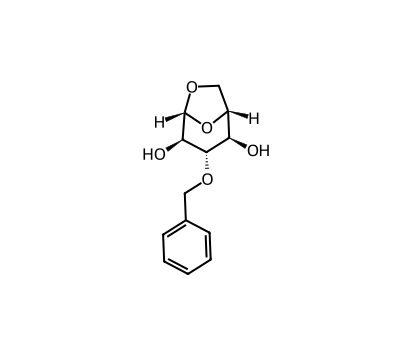 O[C@H]1[C@@H]2OC[C@@H](O2)[C@@H](O)[C@@H]1OCc1ccccc1